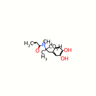 C=CC(=O)N(C)C(C)(Cc1ccc(O)c(O)c1)C(=O)O